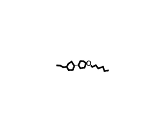 CCCCCCO[C@H]1CC[C@H](C2CCC(CCC)CC2)CC1